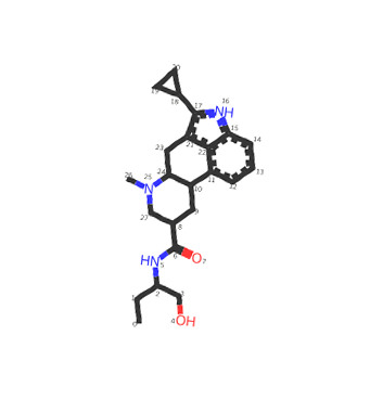 CCC(CO)NC(=O)C1CC2c3cccc4[nH]c(C5CC5)c(c34)CC2N(C)C1